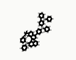 CC1(C)c2cccc3c2Oc2c1ccc1c(-c4ccc(N(c5ccccc5)c5ccc6c7ccccc7n(-c7ccccc7)c6c5)cc4)ccc(c21)-c1c(ccc2ccccc12)N3c1ccccc1